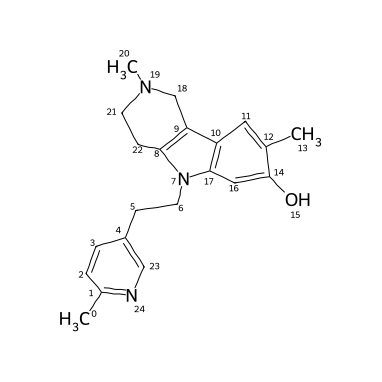 Cc1ccc(CCn2c3c(c4cc(C)c(O)cc42)CN(C)CC3)cn1